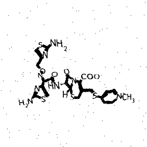 C[n+]1ccc(SCC2=C(C(=O)[O-])N3C(=O)[C@@H](NC(=O)/C(=N\OCc4csc(N)n4)c4csc(N)n4)[C@H]3SC2)cc1